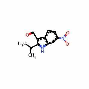 CC(C)c1[nH]c2cc([N+](=O)[O-])ccc2c1C=O